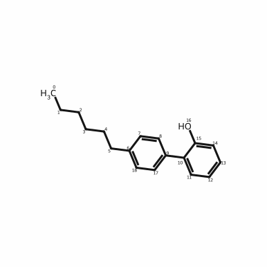 CCCCCCc1ccc(-c2ccccc2O)cc1